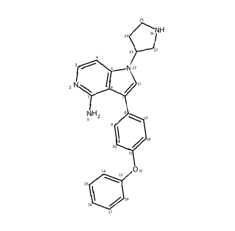 Nc1nccc2c1c(-c1ccc(Oc3ccccc3)cc1)cn2C1CCNC1